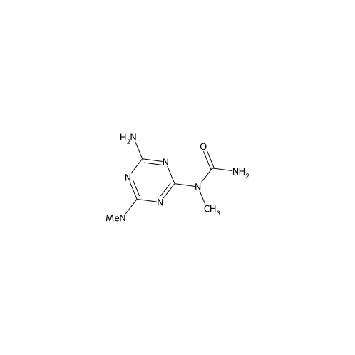 CNc1nc(N)nc(N(C)C(N)=O)n1